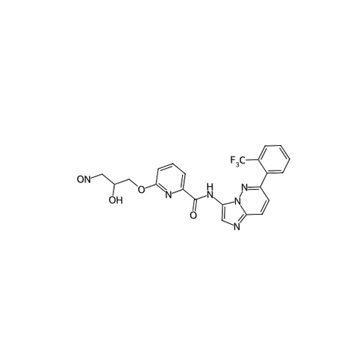 O=NCC(O)COc1cccc(C(=O)Nc2cnc3ccc(-c4ccccc4C(F)(F)F)nn23)n1